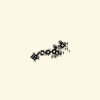 Cc1cc(C)c(CNC(=O)c2cc(-c3ccc(N4CCN(CCC56CC7CC8C[C@@H](C5)C876)CC4)nc3)cc(NC(C)C)c2C=N)c(=O)[nH]1